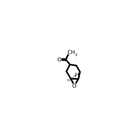 CC(=O)C1CCC2O[C@H]2C1